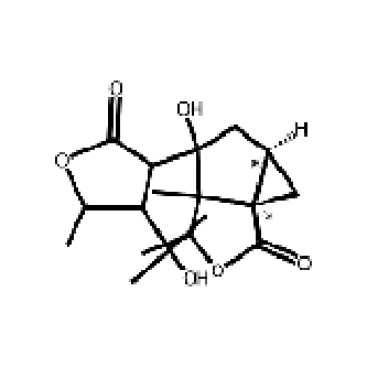 CC1OC(=O)C(C2(O)C[C@H]3C[C@]34C(=O)OC(C)C24C)C1C(C)(C)O